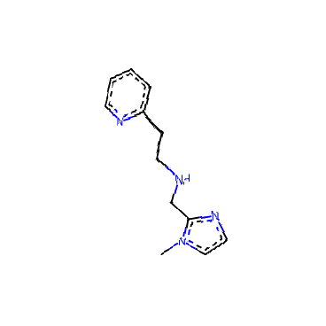 Cn1ccnc1CNCCc1ccccn1